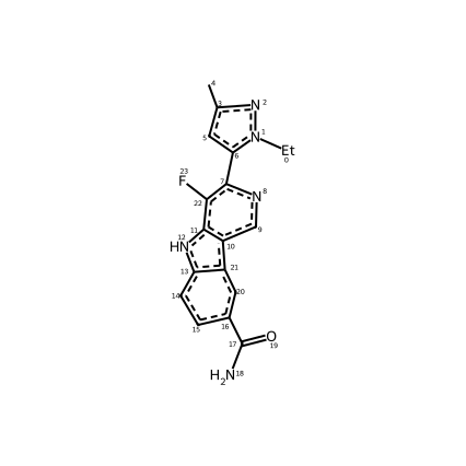 CCn1nc(C)cc1-c1ncc2c([nH]c3ccc(C(N)=O)cc32)c1F